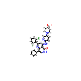 O=c1[nH]cc(-c2ccccc2)c2nc(-c3c(F)cccc3F)cc(Nc3ccc(N4CCC(O)CC4)cn3)c12